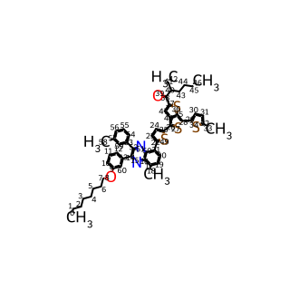 CCCCCCCCOc1cccc(-c2nc3c(C)ccc(-c4ccc(-c5sc(-c6ccc(C)s6)c6sc(C(=O)C(CC)CCCC)cc56)s4)c3nc2-c2cccc(C)c2)c1